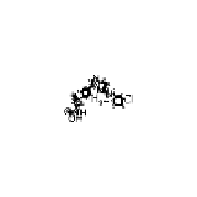 CN(Cc1cccc(Cl)c1)c1ccc2ncc(-c3ccc(N4CC(NC(=O)O)CC4=O)cc3)n2n1